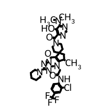 CC1CC2(CCN(C(=O)c3ncnc(N(C)C)c3O)CC2)c2c1n(CC(=O)Nc1ccc(C(F)(F)F)cc1Cl)c1nc(N3CCCCC3)nn1c2=O